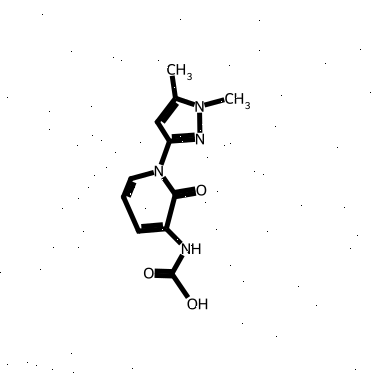 Cc1cc(-n2cccc(NC(=O)O)c2=O)nn1C